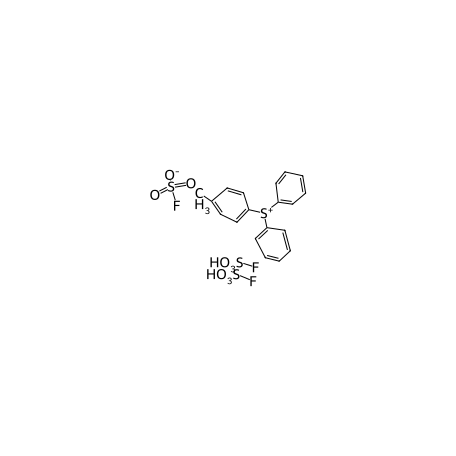 Cc1ccc([S+](c2ccccc2)c2ccccc2)cc1.O=S(=O)(O)F.O=S(=O)(O)F.O=S(=O)([O-])F